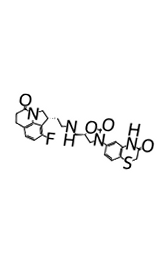 O=C1CSc2ccc(N3C[C@@H](CNCC[C@H]4CN5C(=O)CCc6ccc(F)c4c65)OC3=O)cc2N1